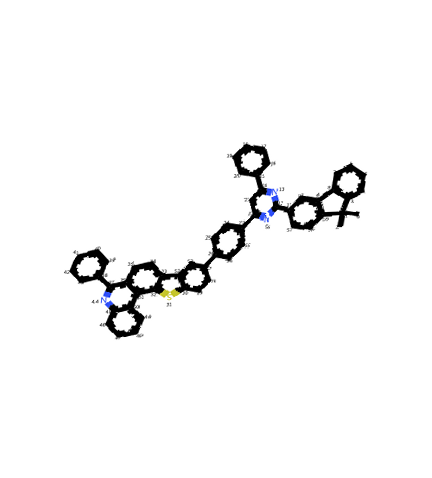 CC1(C)c2ccccc2-c2cc(-c3nc(-c4ccccc4)cc(-c4ccc(-c5ccc6sc7c(ccc8c(-c9ccccc9)nc9ccccc9c87)c6c5)cc4)n3)ccc21